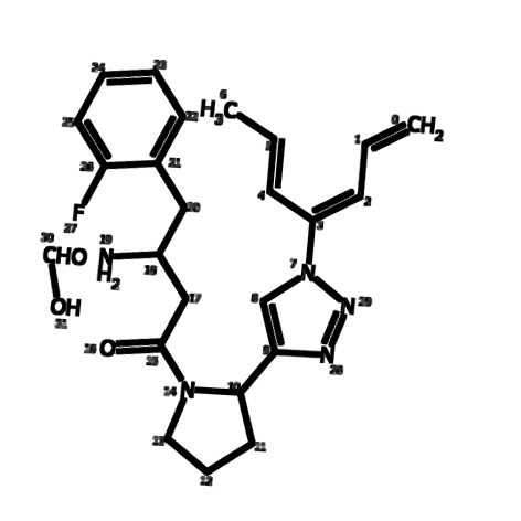 C=CC=C(C=CC)n1cc(C2CCCN2C(=O)CC(N)Cc2ccccc2F)nn1.O=CO